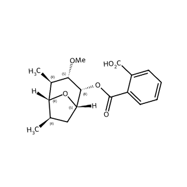 CO[C@H]1[C@H](C)[C@@H]2O[C@@H](C[C@H]2C)[C@H]1OC(=O)c1ccccc1C(=O)O